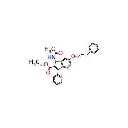 CCOC(=O)C1=C(c2ccccc2)c2ccc(OCCCc3ccccc3)cc2C1NC(C)=O